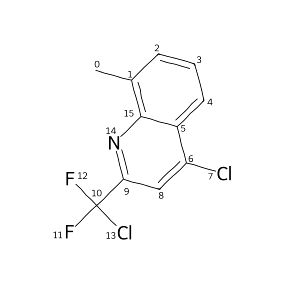 Cc1cccc2c(Cl)cc(C(F)(F)Cl)nc12